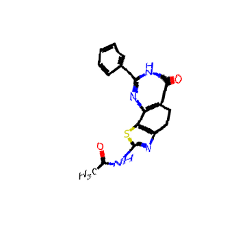 CC(=O)Nc1nc2c(s1)-c1nc(-c3ccccc3)[nH]c(=O)c1CC2